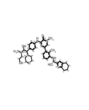 Cc1c(N[C@@H](O)c2cc3c(s2)CCCC3)cccc1-c1cn(C)c(=O)c(Nc2ccc(C([C@H](O)N(C)CCO)N3CCOCC3)cc2)n1